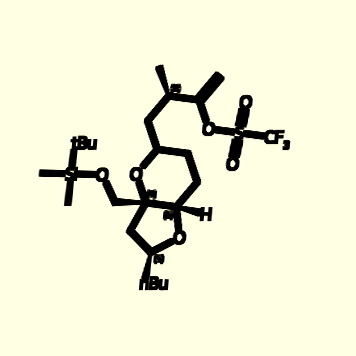 C=C(OS(=O)(=O)C(F)(F)F)[C@H](C)CC1CC[C@@H]2O[C@@H](CCCC)C[C@]2(CO[Si](C)(C)C(C)(C)C)O1